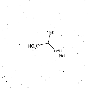 CCCCC(CC)C(=O)O.[Nd]